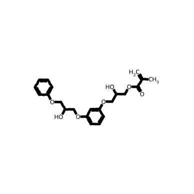 C=C(C)C(=O)OCC(O)COc1cccc(OCC(O)COc2ccccc2)c1